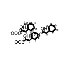 O=C([O-])C(O)=Cc1ccccc1.O=C([O-])C(O)=Cc1ccccc1.O=C([O-])C(O)=Cc1ccccc1.[La+3]